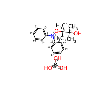 CC(C)(O)C(C)(C)ON(c1ccccc1)c1ccccc1.OB(O)O